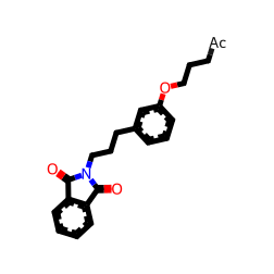 CC(=O)CCCOc1cccc(CCCN2C(=O)c3ccccc3C2=O)c1